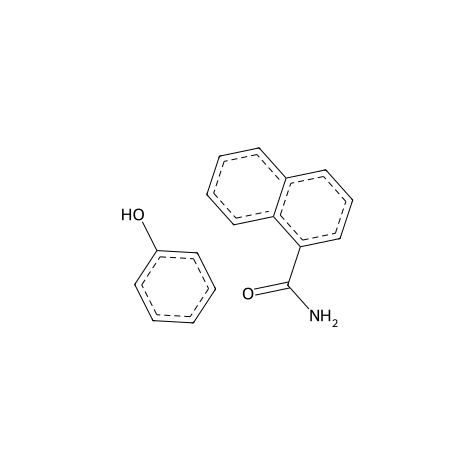 NC(=O)c1cccc2ccccc12.Oc1ccccc1